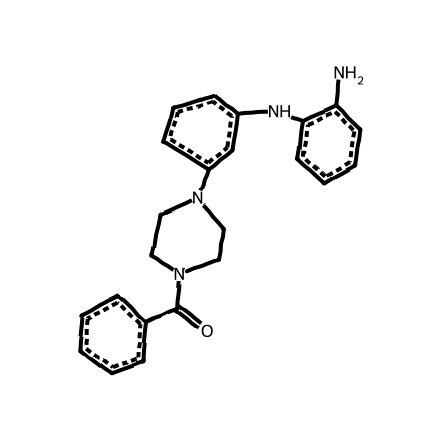 Nc1ccccc1Nc1cccc(N2CCN(C(=O)c3ccccc3)CC2)c1